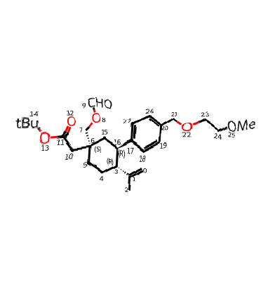 C=C(C)[C@@H]1CC[C@@](COC=O)(CC(=O)OC(C)(C)C)C[C@H]1c1ccc(COCCOC)cc1